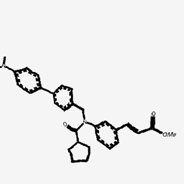 COC(=O)/C=C/c1cccc(N(Cc2ccc(-c3ccc(N(C)C)cc3)cc2)C(=O)C2CCCC2)c1